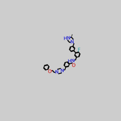 C[C@H]1CN(Cc2cccc(-c3cc(CNC(=O)c4cccc(CN5CCN(CCOc6ccccc6)CC5)c4)ccc3F)c2)CCN1